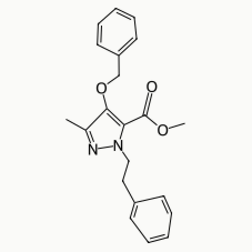 COC(=O)c1c(OCc2ccccc2)c(C)nn1CCc1ccccc1